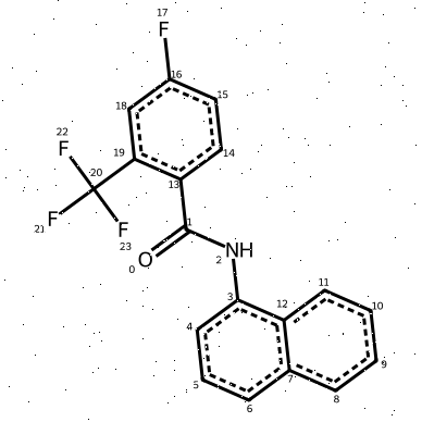 O=C(Nc1cccc2ccccc12)c1ccc(F)cc1C(F)(F)F